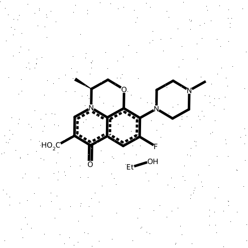 CCO.C[C@H]1COc2c(N3CCN(C)CC3)c(F)cc3c(=O)c(C(=O)O)cn1c23